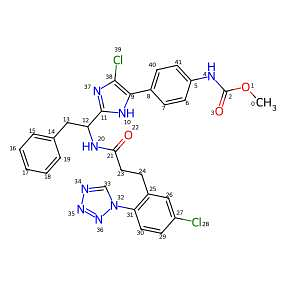 COC(=O)Nc1ccc(-c2[nH]c(C(Cc3ccccc3)NC(=O)CCc3cc(Cl)ccc3-n3cnnn3)nc2Cl)cc1